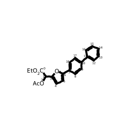 CCOC(=O)C(OC(C)=O)c1ccc(-c2ccc(-c3ccccc3)cc2)o1